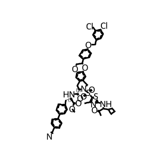 COC(=O)[C@H](Cc1ccc(-c2ccc(C#N)cc2)cc1)NC(=O)[C@@H]1Cc2cc3c(cc2CN1S(=O)(=O)c1sc(NC(C(C)=O)C2CCC2)nc1C)OC(c1ccc(OCc2ccc(Cl)c(Cl)c2)cc1)CO3